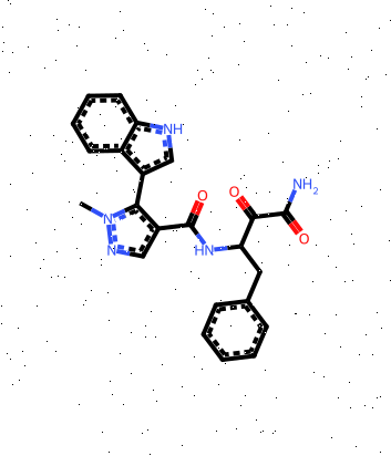 Cn1ncc(C(=O)NC(Cc2ccccc2)C(=O)C(N)=O)c1-c1c[nH]c2ccccc12